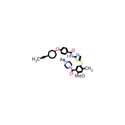 CC#CC1CCCC(Oc2ccc(C(=O)Nc3ncc(Sc4cc(C(=O)N5CCN(C(C)=O)CC5)c(OC)cc4C)s3)cc2)CC1